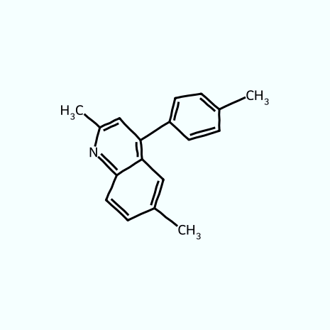 Cc1ccc(-c2cc(C)nc3ccc(C)cc23)cc1